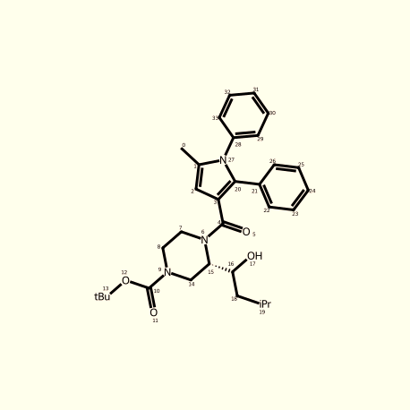 Cc1cc(C(=O)N2CCN(C(=O)OC(C)(C)C)C[C@H]2C(O)CC(C)C)c(-c2ccccc2)n1-c1ccccc1